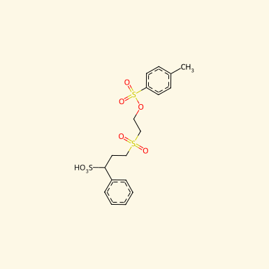 Cc1ccc(S(=O)(=O)OCCS(=O)(=O)CCC(c2ccccc2)S(=O)(=O)O)cc1